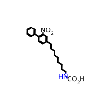 O=C(O)NCCCCCCCC=Cc1ccc(-c2ccccc2)c([N+](=O)[O-])c1